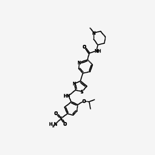 CC(C)Oc1ccc(S(N)(=O)=O)cc1Nc1nc(-c2ccc(C(=O)NC3CCCN(C)C3)nc2)cs1